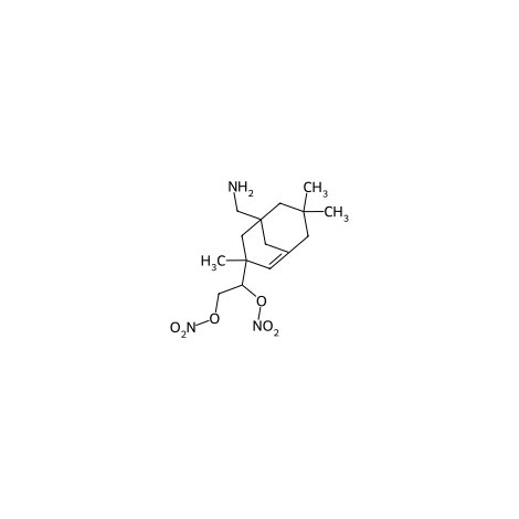 CC1(C)CC2=CC(C)(C(CO[N+](=O)[O-])O[N+](=O)[O-])CC(CN)(C2)C1